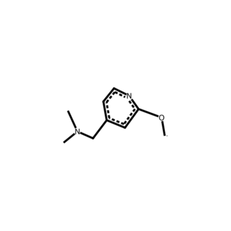 [CH2]Oc1cc(CN(C)C)ccn1